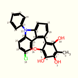 Cc1c(O)c(O)c(O)c(-c2cccc3c2c2cc(Cl)ccc2n3-c2ccccc2)c1O